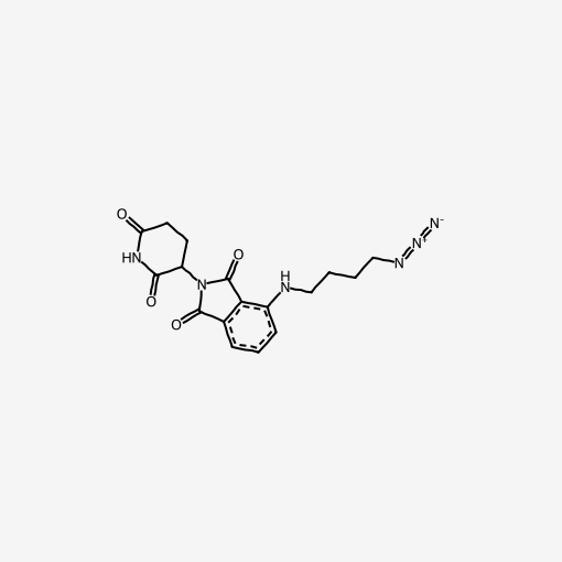 [N-]=[N+]=NCCCCNc1cccc2c1C(=O)N(C1CCC(=O)NC1=O)C2=O